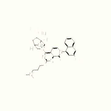 CN(C)CCCOc1nc(N2C[C@H]3CC[C@@H](C2)N3)c2ccn(-c3cc(O)cc4ccccc34)c(=O)c2n1.Cl.Cl